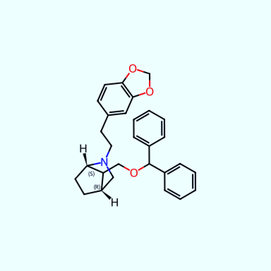 c1ccc(C(OCC2[C@H]3CC[C@@H]2N(CCc2ccc4c(c2)OCO4)C3)c2ccccc2)cc1